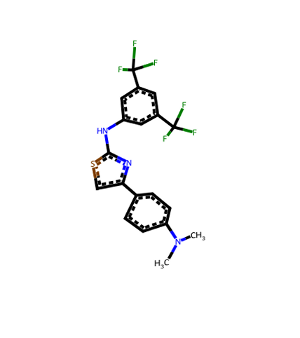 CN(C)c1ccc(-c2csc(Nc3cc(C(F)(F)F)cc(C(F)(F)F)c3)n2)cc1